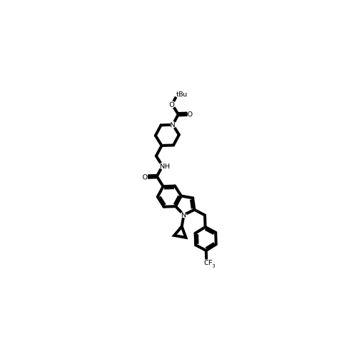 CC(C)(C)OC(=O)N1CCC(CNC(=O)c2ccc3c(c2)cc(Cc2ccc(C(F)(F)F)cc2)n3C2CC2)CC1